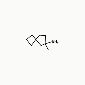 BC1(C)CCC2(CCC2)C1